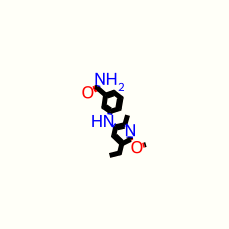 CCc1cc(Nc2cccc(C(N)=O)c2)c(C)nc1OC